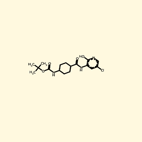 CC(C)(C)OC(=O)NC1CCC(C(=O)Nc2cc(Cl)cnc2O)CC1